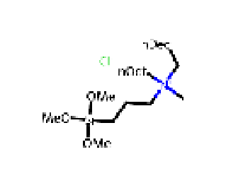 CCCCCCCCCCC[N+](C)(CCCCCCCC)CCC[Si](OC)(OC)OC.[Cl-]